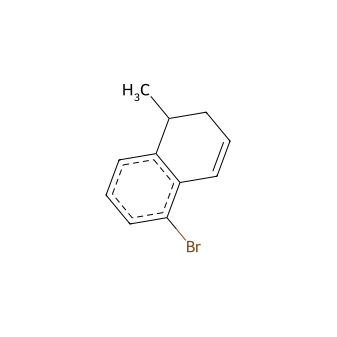 CC1CC=Cc2c(Br)cccc21